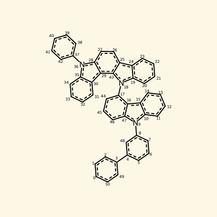 c1ccc(-c2cccc(-n3c4ccccc4c4c(-n5c6ccccc6c6ccc7c(c8ccccc8n7-c7ccccc7)c65)cccc43)c2)cc1